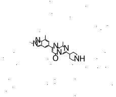 Cc1cc(-c2cc(=O)n3cc(C4CCNCC4)nc(C)c3n2)cc2cn(C)nc12